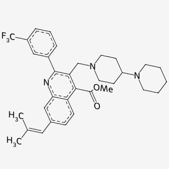 COC(=O)c1c(CN2CCC(N3CCCCC3)CC2)c(-c2cccc(C(F)(F)F)c2)nc2cc(C=C(C)C)ccc12